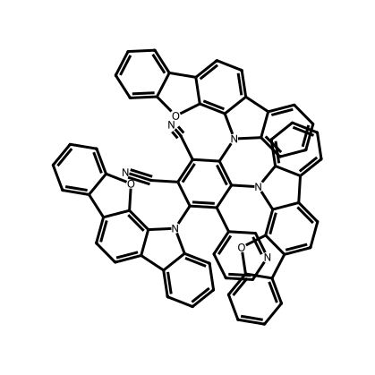 N#Cc1c(C#N)c(-n2c3ccccc3c3ccc4c5ccccc5oc4c32)c(-n2c3ccccc3c3ccc4c5ccccc5oc4c32)c(-c2cccnc2)c1-n1c2ccccc2c2ccc3c4ccccc4oc3c21